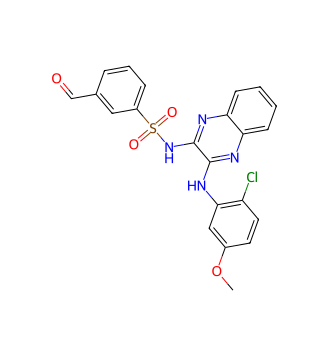 COc1ccc(Cl)c(Nc2nc3ccccc3nc2NS(=O)(=O)c2cccc(C=O)c2)c1